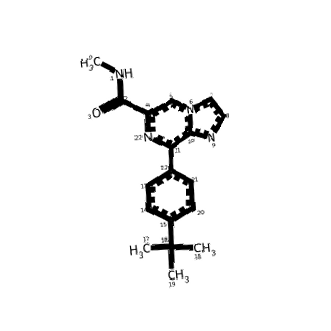 CNC(=O)c1cn2ccnc2c(-c2ccc(C(C)(C)C)cc2)n1